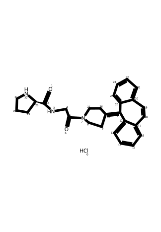 Cl.O=C(NCC(=O)N1CCC(=C2c3ccccc3C=Cc3ccccc32)CC1)[C@H]1CCCN1